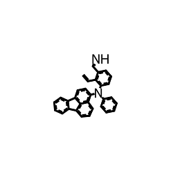 C=Cc1c(C=N)cccc1N(c1ccccc1)c1ccc2c3c(cccc13)-c1ccccc1-2